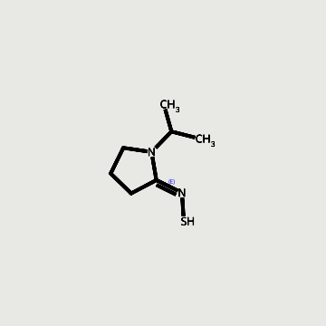 CC(C)N1CCC/C1=N\S